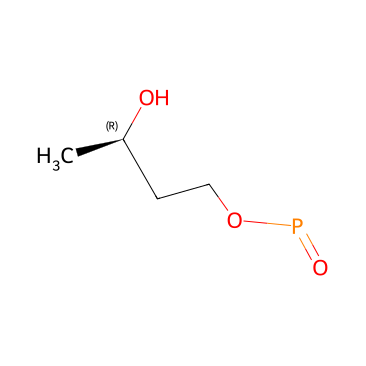 C[C@@H](O)CCOP=O